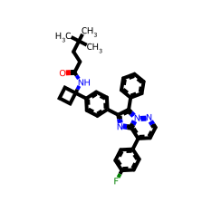 CC(C)(C)CCC(=O)NC1(c2ccc(-c3nc4c(-c5ccc(F)cc5)ccnn4c3-c3ccccc3)cc2)CCC1